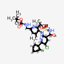 Cc1cc(CNC(=O)OC(C)(C)C)nc(C(C)C)c1N1c2nc(-c3ccccc3F)c(Cl)cc2C(=O)NS1(=O)=O